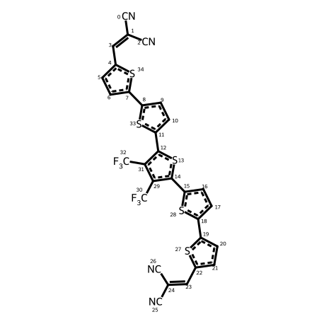 N#CC(C#N)=Cc1ccc(-c2ccc(-c3sc(-c4ccc(-c5ccc(C=C(C#N)C#N)s5)s4)c(C(F)(F)F)c3C(F)(F)F)s2)s1